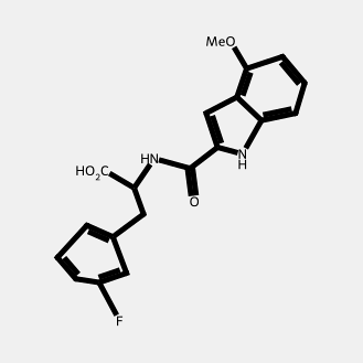 COc1cccc2[nH]c(C(=O)NC(Cc3cccc(F)c3)C(=O)O)cc12